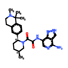 C[C@H]1CC[C@H](c2ccc3c(c2)CCN(C)C3(C)C)N(C(=O)C(=O)Nc2cnc(N)c3c[nH]nc23)C1